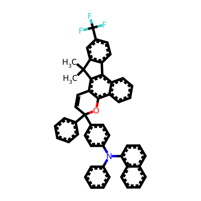 CC1(C)c2cc(C(F)(F)F)ccc2-c2c1c1c(c3ccccc23)OC(c2ccccc2)(c2ccc(N(c3ccccc3)c3cccc4ccccc34)cc2)C=C1